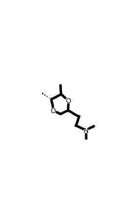 CC1OC(CCN(C)C)CO[C@@H]1C